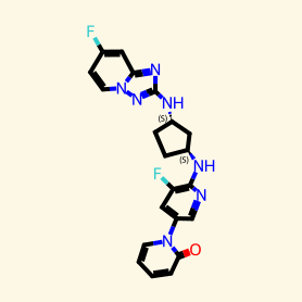 O=c1ccccn1-c1cnc(N[C@H]2CC[C@H](Nc3nc4cc(F)ccn4n3)C2)c(F)c1